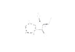 C/C=C1\C(=O)c2cccnc2C1=O